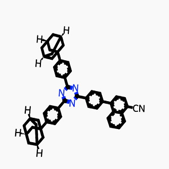 N#Cc1ccc(-c2ccc(-c3nc(-c4ccc(C56C[C@H]7C[C@@H](C5)C[C@@H](C6)C7)cc4)nc(-c4ccc(C56C[C@H]7C[C@@H](C5)C[C@@H](C6)C7)cc4)n3)cc2)c2ccccc12